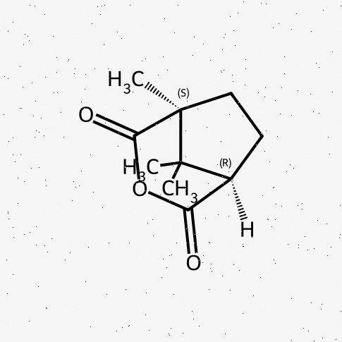 CC1(C)[C@H]2CC[C@]1(C)C(=O)OC2=O